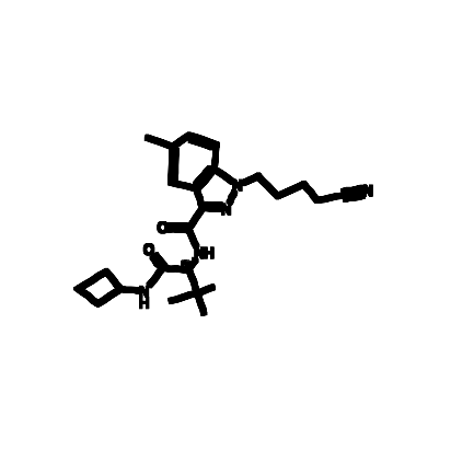 Cc1ccc2c(c1)c(C(=O)N[C@H](C(=O)NC1CCC1)C(C)(C)C)nn2CCCCC#N